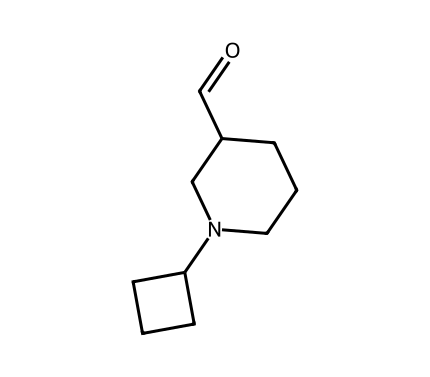 O=CC1CCCN(C2CCC2)C1